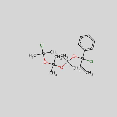 C=C[Si](Cl)(O[Si](C)(C)O[Si](C)(C)O[Si](C)(C)Cl)c1ccccc1